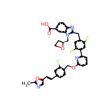 Cc1ncc(C=Cc2ccc(COc3cccc(-c4cc(F)c(Cc5nc6ccc(C(=O)O)cc6n5C[C@@H]5CCO5)cc4F)n3)c(F)c2)o1